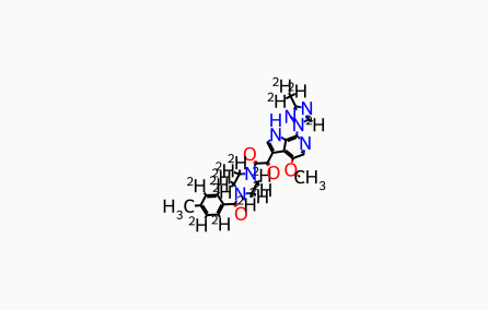 [2H]c1c([2H])c(C(=O)N2C([2H])([2H])C([2H])([2H])N(C(=O)C(=O)c3c[nH]c4c(-n5nc(C([2H])([2H])[2H])nc5[2H])ncc(OC)c34)C([2H])([2H])C2([2H])[2H])c([2H])c([2H])c1C